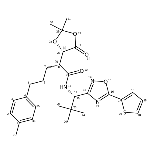 Cc1ccc(CCC[C@@H](C(=O)N[C@H](c2noc(-c3cccs3)n2)C(C)(C)C)[C@@H]2OC(C)(C)OC2=O)cc1